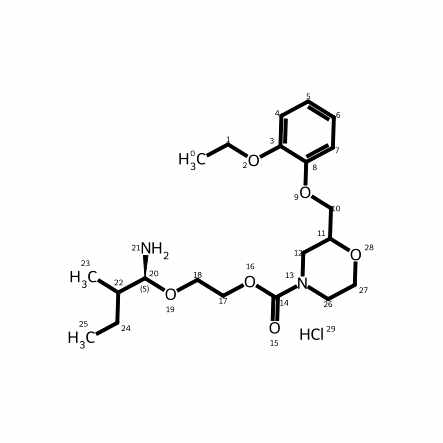 CCOc1ccccc1OCC1CN(C(=O)OCCO[C@H](N)C(C)CC)CCO1.Cl